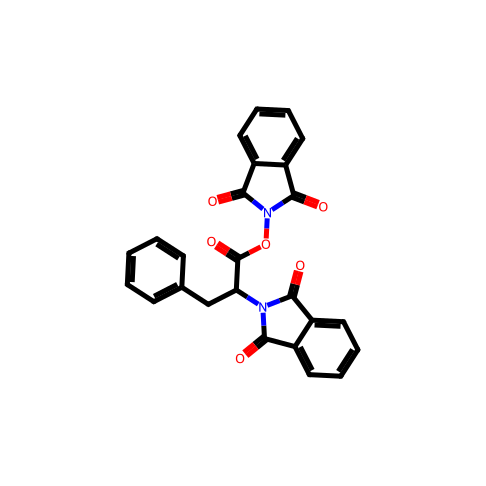 O=C(ON1C(=O)c2ccccc2C1=O)C(Cc1ccccc1)N1C(=O)c2ccccc2C1=O